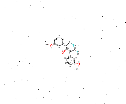 COc1cccc(C(CF)C(=O)C(CF)c2cccc(OC)c2)c1